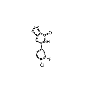 O=c1[nH]c(-c2ccc(Cl)c(F)c2)nc2ccsc12